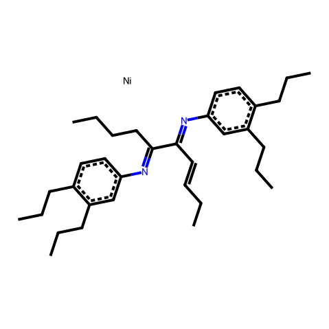 CCC=CC(=Nc1ccc(CCC)c(CCC)c1)C(CCCC)=Nc1ccc(CCC)c(CCC)c1.[Ni]